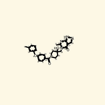 Cc1cccc(Oc2ccc(C(=O)N3CCC(O)(Cn4c(C)nc5[nH]ncc5c4=O)CC3)cc2)c1